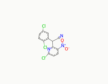 N#CC(c1cc(Cl)ccc1Cl)c1nc(Cl)ccc1[N+](=O)[O-]